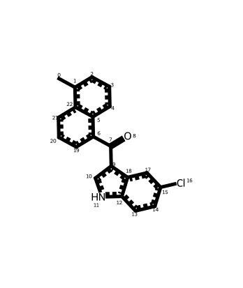 Cc1cccc2c(C(=O)c3c[nH]c4ccc(Cl)cc34)cccc12